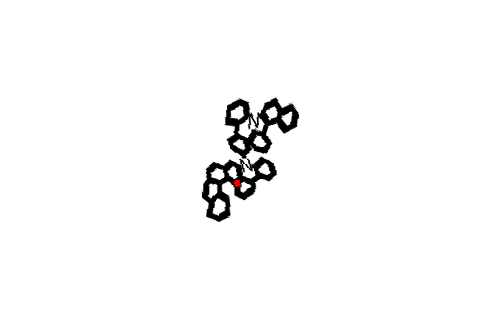 c1ccc(-c2ccccc2N(c2ccc(-c3ccccc3-n3c4ccccc4c4c5ccccc5ccc43)cc2)c2ccc3c(ccc4ccc5ccccc5c43)c2)cc1